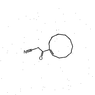 N#CCC(=O)/C1=C/CCCCCCCCC1